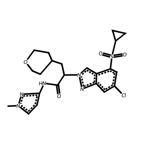 Cn1ccc(NC(=O)C(CC2CCOCC2)n2cc3c(S(=O)(=O)C4CC4)cc(Cl)cc3n2)n1